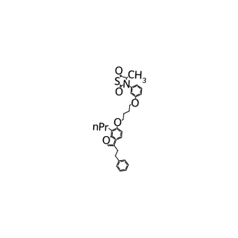 CCCc1c(OCCCCOc2cccc(N3C(=O)SC(=O)C3C)c2)ccc2c(CCc3ccccc3)coc12